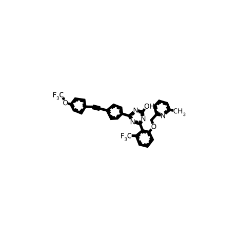 Cc1cccc(COc2cccc(C(F)(F)F)c2-c2nc(O)nc(-c3ccc(C#Cc4ccc(OC(F)(F)F)cc4)cc3)n2)n1